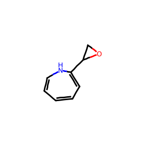 C1=CC=C(C2CO2)NC=C1